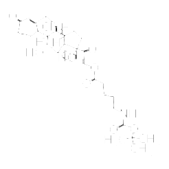 CC(C)(C)OC(=O)NCCCCC(=O)OCC(=O)[C@@]1(O)CC[C@H]2[C@@H]3CCC4=CC(=O)CC[C@]4(C)[C@H]3[C@@H](O)C[C@@]21C